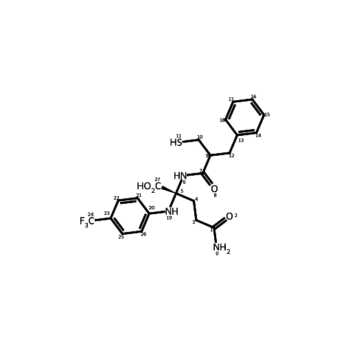 NC(=O)CC[C@@](NC(=O)C(CS)Cc1ccccc1)(Nc1ccc(C(F)(F)F)cc1)C(=O)O